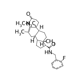 CC1=C2N(C)C(=O)CC[C@]2(C)[C@H]2CC[C@]3(C)[C@@H](C(=O)NCc4ccccc4F)CC[C@H]3[C@@H]2C1